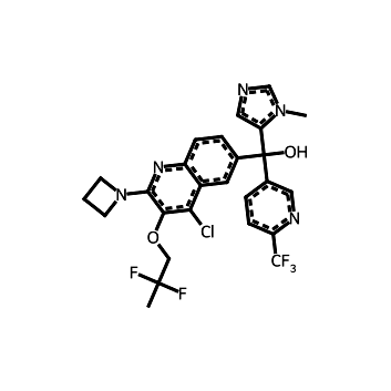 Cn1cncc1C(O)(c1ccc(C(F)(F)F)nc1)c1ccc2nc(N3CCC3)c(OCC(C)(F)F)c(Cl)c2c1